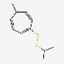 CC1C=CC=C(SSC(C)C)C=C1